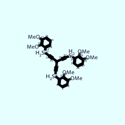 COc1cccc([SiH2]C#CC(C#C[SiH2]c2cccc(OC)c2OC)C#C[SiH2]c2cccc(OC)c2OC)c1OC